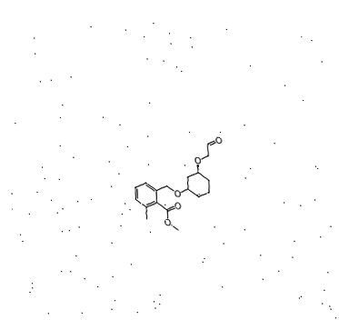 COC(=O)c1c(C)cccc1COC1CCC[C@H](OCC=O)C1